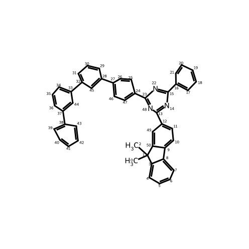 CC1(C)c2ccccc2-c2ccc(-c3nc(-c4ccccc4)nc(-c4ccc(-c5cccc(-c6cccc(-c7ccccc7)c6)c5)cc4)n3)cc21